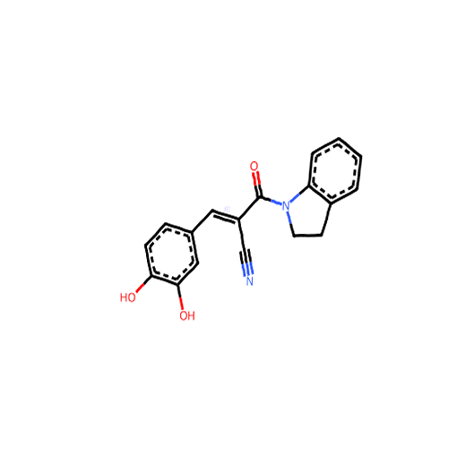 N#C/C(=C\c1ccc(O)c(O)c1)C(=O)N1CCc2ccccc21